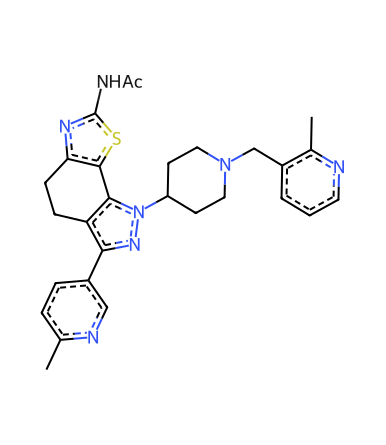 CC(=O)Nc1nc2c(s1)-c1c(c(-c3ccc(C)nc3)nn1C1CCN(Cc3cccnc3C)CC1)CC2